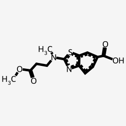 COC(=O)CCN(C)c1nc2ccc(C(=O)O)cc2s1